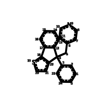 c1ccc(C2(Cc3ccncc3)c3ccccc3-c3sccc32)cc1